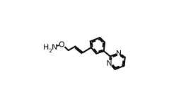 NOC/C=C/c1cccc(-c2ncccn2)c1